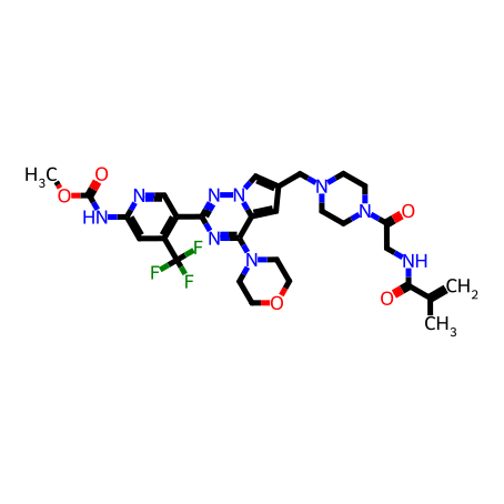 C=C(C)C(=O)NCC(=O)N1CCN(Cc2cc3c(N4CCOCC4)nc(-c4cnc(NC(=O)OC)cc4C(F)(F)F)nn3c2)CC1